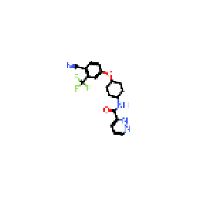 N#Cc1ccc(OC2CCC(NC(=O)c3cccnn3)CC2)cc1C(F)(F)F